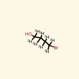 [2H]C([2H])(O)C([2H])([2H])C([2H])([2H])C([2H])([2H])Br